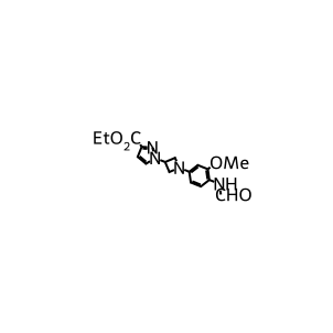 CCOC(=O)c1ccn(C2CN(c3ccc(NC=O)c(OC)c3)C2)n1